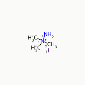 C[N+](C)(C)N.[I-]